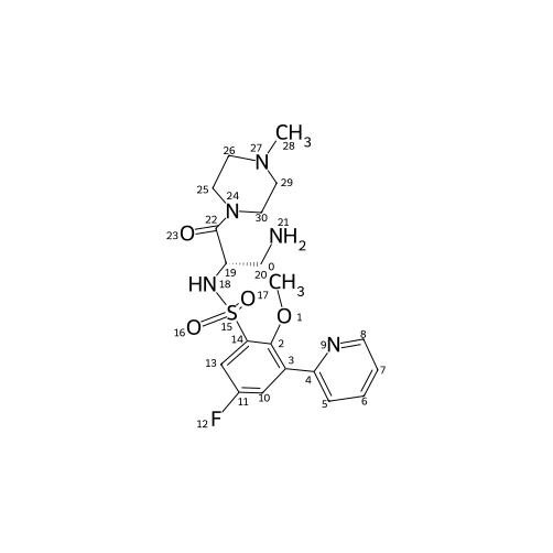 COc1c(-c2ccccn2)cc(F)cc1S(=O)(=O)N[C@@H](CN)C(=O)N1CCN(C)CC1